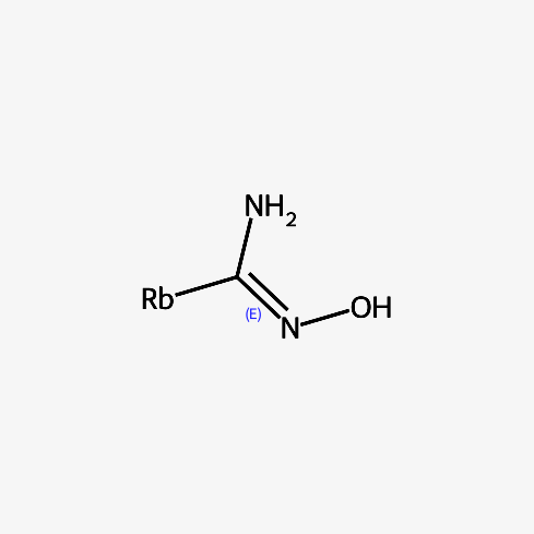 N/[C]([Rb])=N\O